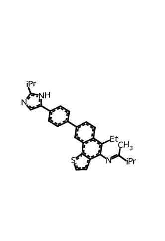 CCc1c(/N=C(\C)C(C)C)c2ccsc2c2cc(-c3ccc(-c4cnc(C(C)C)[nH]4)cc3)ccc12